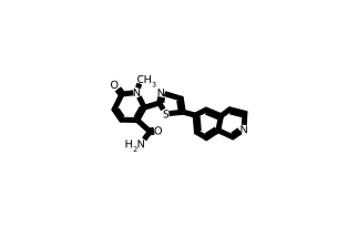 Cn1c(-c2ncc(-c3ccc4cnccc4c3)s2)c(C(N)=O)ccc1=O